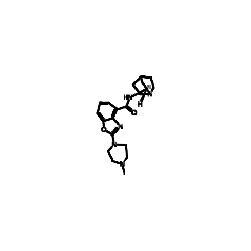 CN1CCN(c2nc3c(C(=O)N[C@@H]4CC5CCN4CC5)cccc3o2)CC1